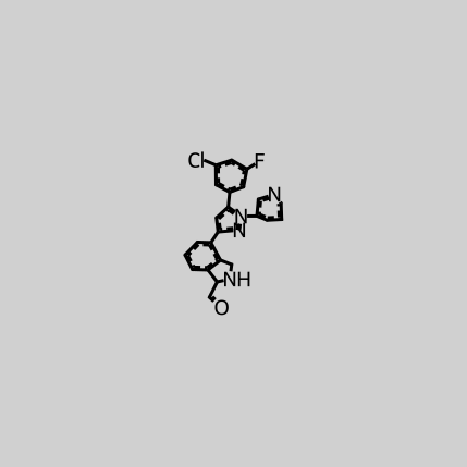 O=CC1NCc2c(-c3cc(-c4cc(F)cc(Cl)c4)n(-c4cccnc4)n3)cccc21